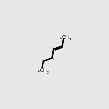 [CH2]CC/[C]=C/C